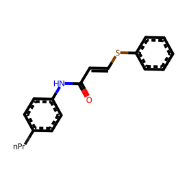 CCCc1ccc(NC(=O)C=CSc2ccccc2)cc1